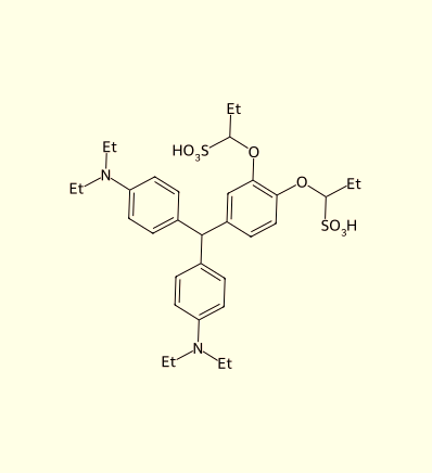 CCC(Oc1ccc(C(c2ccc(N(CC)CC)cc2)c2ccc(N(CC)CC)cc2)cc1OC(CC)S(=O)(=O)O)S(=O)(=O)O